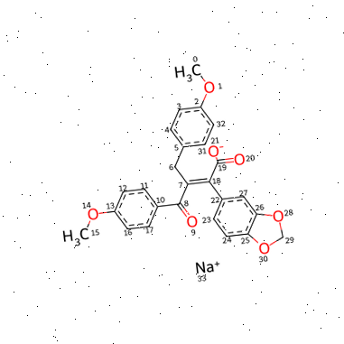 COc1ccc(C/C(C(=O)c2ccc(OC)cc2)=C(\C(=O)[O-])c2ccc3c(c2)OCO3)cc1.[Na+]